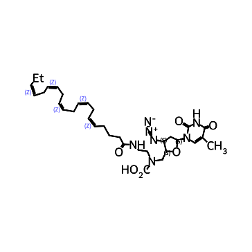 CC/C=C\C/C=C\C/C=C\C/C=C\C/C=C\CCCC(=O)NCCN(C[C@@H]1O[C@H](n2cc(C)c(=O)[nH]c2=O)C[C@@H]1N=[N+]=[N-])C(=O)O